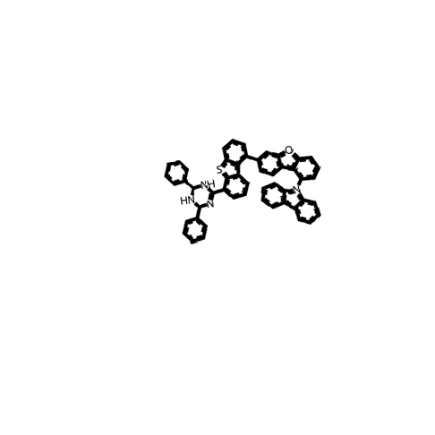 c1ccc(C2N=C(c3cccc4c3sc3cccc(-c5ccc6c(c5)oc5cccc(-n7c8ccccc8c8ccccc87)c56)c34)NC(c3ccccc3)N2)cc1